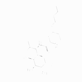 CCCCO[C@@H]1CCN[C@H](C(=O)N[C@H](C(C)C)[C@H]2O[C@H](SC)[C@H](O)[C@@H](O)[C@H]2O)C1